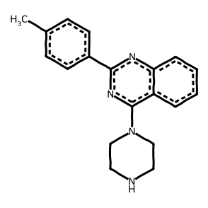 Cc1ccc(-c2nc(N3CCNCC3)c3ccccc3n2)cc1